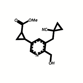 COC(=O)C1CC1c1cnc(CO)c(CC2(C#N)CC2)c1